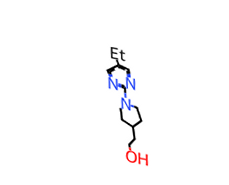 CCc1cnc(N2CCC(CCO)CC2)nc1